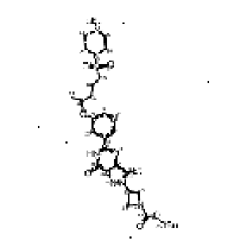 CCc1c2nc(-c3cncc(OC(C)CCCS(=O)(=O)N4CCN(CC)CC4)c3)[nH]c(=O)c2nn1C1CN(C(=O)OC(C)(C)C)C1